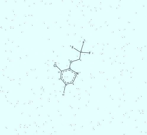 FC(F)(F)COc1ncc(I)cc1Cl